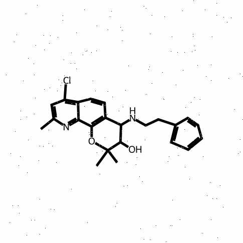 Cc1cc(Cl)c2ccc3c(c2n1)OC(C)(C)C(O)C3NCCc1ccccc1